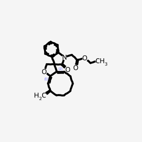 C=C1/C=C2/OCC3(C(=O)N(CC(=O)OCC)c4ccccc43)/C2=C/CCCCC1